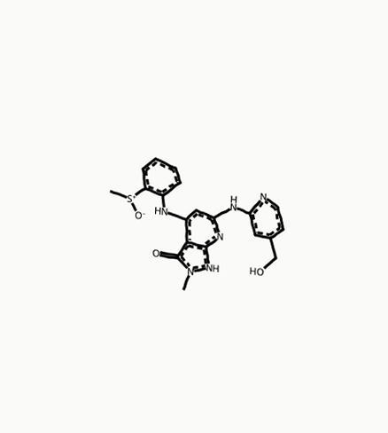 Cn1[nH]c2nc(Nc3cc(CO)ccn3)cc(Nc3ccccc3[S+](C)[O-])c2c1=O